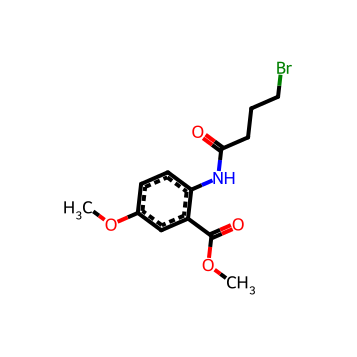 COC(=O)c1cc(OC)ccc1NC(=O)CCCBr